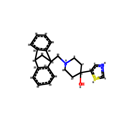 OC1(c2cncs2)CCN(CC23CC(c4ccccc42)c2ccccc23)CC1